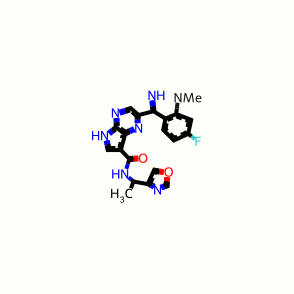 CNc1cc(F)ccc1C(=N)c1cnc2[nH]cc(C(=O)NC(C)c3cocn3)c2n1